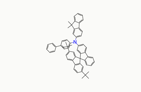 CC(C)(C)c1ccc2c(c1)C1(c3ccccc3-c3ccc(N(c4ccc(-c5ccccc5)cc4)c4ccc5c(c4)C(C)(C)c4ccccc4-5)cc31)c1cc(C(C)(C)C)ccc1-2